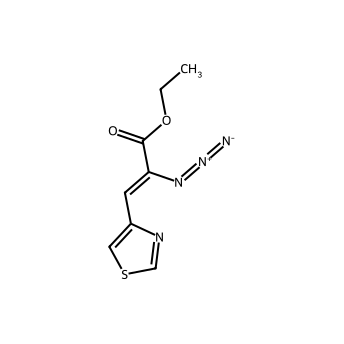 CCOC(=O)C(=Cc1cscn1)N=[N+]=[N-]